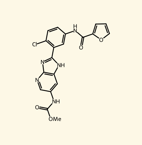 COC(=O)Nc1cnc2nc(-c3cc(NC(=O)c4ccco4)ccc3Cl)[nH]c2c1